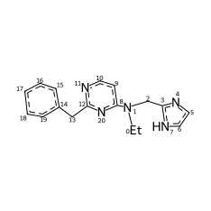 CCN(Cc1ncc[nH]1)c1ccnc(Cc2ccccc2)n1